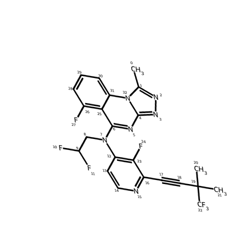 Cc1nnc2nc(N(CC(F)F)c3ccnc(C#CC(C)(C)C(F)(F)F)c3F)c3c(F)cccc3n12